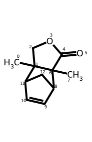 CC12COC(=O)C1(C)C1C=CC2C1